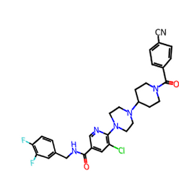 N#Cc1ccc(C(=O)N2CCC(N3CCN(c4ncc(C(=O)NCc5ccc(F)c(F)c5)cc4Cl)CC3)CC2)cc1